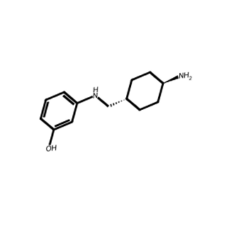 N[C@H]1CC[C@H](CNc2cccc(O)c2)CC1